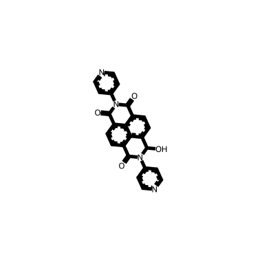 O=C1c2ccc3c4c(ccc(c24)C(=O)N1c1ccncc1)C(O)N(c1ccncc1)C3=O